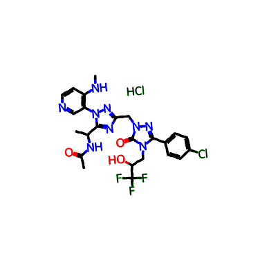 CNc1ccncc1-n1nc(Cn2nc(-c3ccc(Cl)cc3)n(CC(O)C(F)(F)F)c2=O)nc1C(C)NC(C)=O.Cl